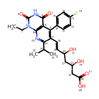 CCn1c(=O)[nH]c(=O)c2c(-c3ccc(F)cc3)c(/C=C/C(O)CC(O)CC(=O)O)c(C(C)C)nc21